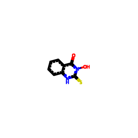 O=c1c2ccccc2[nH]c(=S)n1O